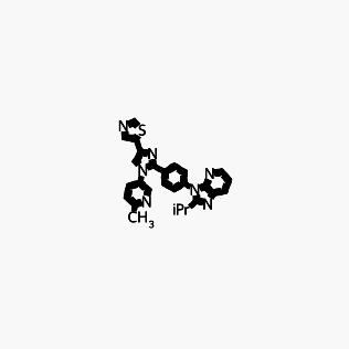 Cc1ccc(-n2cc(-c3cncs3)nc2-c2ccc(-n3c(C(C)C)nc4cccnc43)cc2)cn1